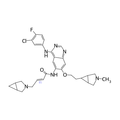 CN1CC2C(CCOc3cc4ncnc(Nc5ccc(F)c(Cl)c5)c4cc3NC(=O)/C=C/CN3CC4CC4C3)C2C1